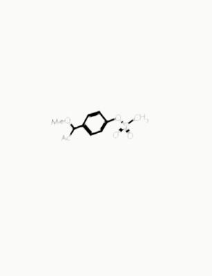 COC(C(C)=O)c1ccc(OS(C)(=O)=O)cc1